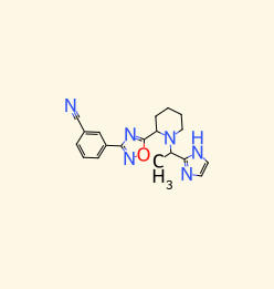 CC(c1ncc[nH]1)N1CCCCC1c1nc(-c2cccc(C#N)c2)no1